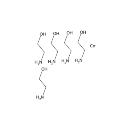 NCCO.NCCO.NCCO.NCCO.NCCO.[Co]